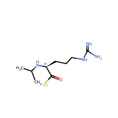 CC(C)N[C@@H](CCCNC(=N)N)C(=O)S